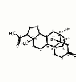 CC(=O)C1CCC2C3C[C@H]4OC[C@@]5(CCC(=O)CC45Br)C3CC[C@]12C